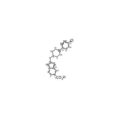 O=C(O)c1ccc2nc(CC3CCN(c4ccc(Cl)nn4)CC3)sc2c1